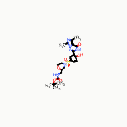 Cc1nc(C)n2nc(-c3cc(S(=O)(=O)N4CCOC(CNC(=O)OC(C)(C)C)C4)ccc3O)[nH]c(=O)c12